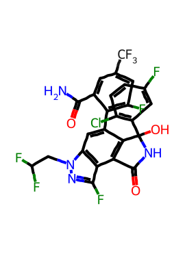 NC(=O)c1cc(C(F)(F)F)cc(F)c1-c1cc2c(c(F)nn2CC(F)F)c2c1C(O)(c1cc(F)ccc1Cl)NC2=O